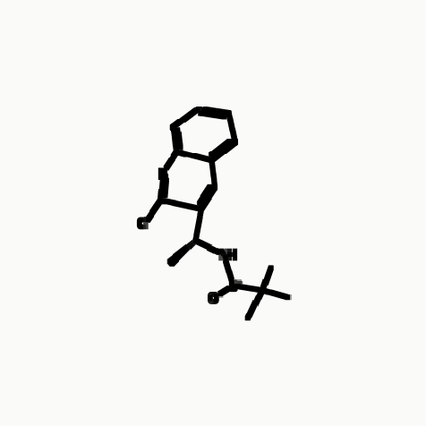 C[C@H](N[S+]([O-])C(C)(C)C)c1cc2ccccc2nc1Cl